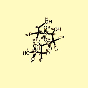 O=S(=O)(O)C(F)(F)C(O)S(=O)(=O)C(F)(F)C(O)S(=O)(=O)C(F)(F)CO